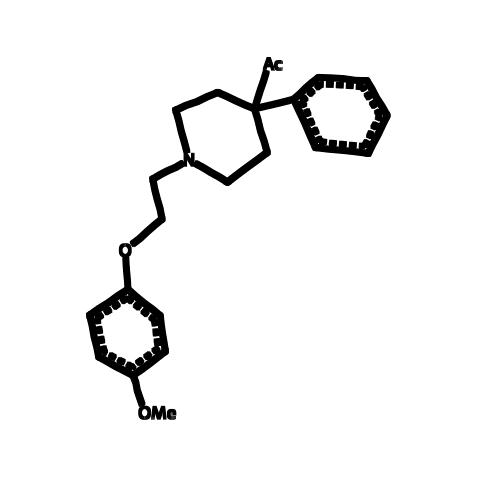 COc1ccc(OCCN2CCC(C(C)=O)(c3ccccc3)CC2)cc1